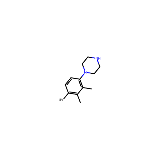 Cc1c(C(C)C)ccc(N2CCNCC2)c1C